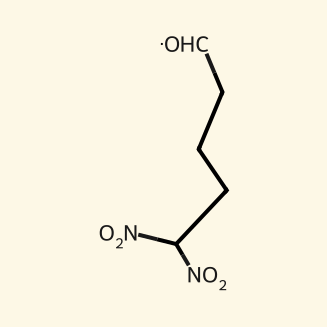 O=[C]CCCC([N+](=O)[O-])[N+](=O)[O-]